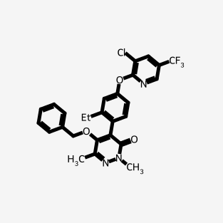 CCc1cc(Oc2ncc(C(F)(F)F)cc2Cl)ccc1-c1c(OCc2ccccc2)c(C)nn(C)c1=O